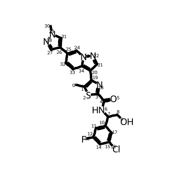 Cc1sc(C(=O)NC(CO)c2cc(F)cc(Cl)c2)nc1-c1cnn2cc(-c3cnn(C)c3)ccc12